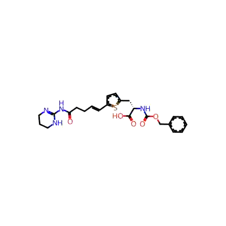 O=C(CCC=Cc1ccc(C[C@H](NC(=O)OCc2ccccc2)C(=O)O)s1)NC1=NCCCN1